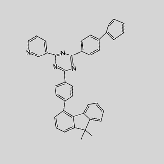 CC1(C)c2ccccc2-c2c(-c3ccc(-c4nc(-c5ccc(-c6ccccc6)cc5)nc(-c5cccnc5)n4)cc3)cccc21